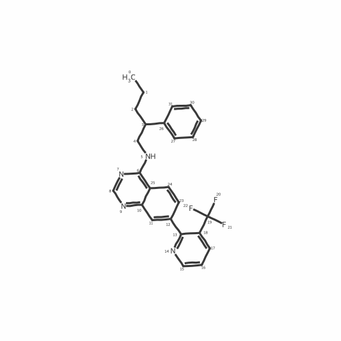 CCCC(CNc1ncnc2cc(-c3ncccc3C(F)(F)F)ccc12)c1ccccc1